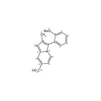 COc1ccccc1-c1c(C)nc2cc(C(=O)O)ccn12